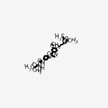 COc1cc2c(Oc3ccc(NC(=O)NCCC(C)(C)C)cc3F)ccnc2cc1OCCCN1CC(C)OC(C)C1